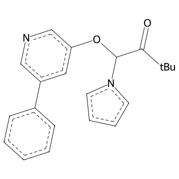 CC(C)(C)C(=O)C(Oc1cncc(-c2ccccc2)c1)n1cccc1